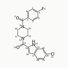 O=C(c1ccc(F)cc1)N1CCN(C(=O)c2cc3ccc(Cl)cc3[nH]2)CC1